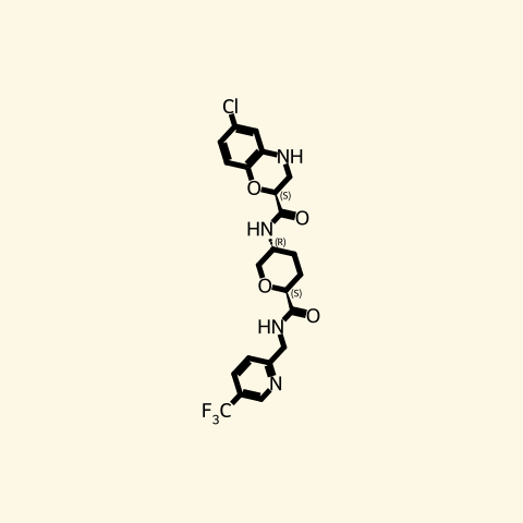 O=C(NCc1ccc(C(F)(F)F)cn1)[C@@H]1CC[C@@H](NC(=O)[C@@H]2CNc3cc(Cl)ccc3O2)CO1